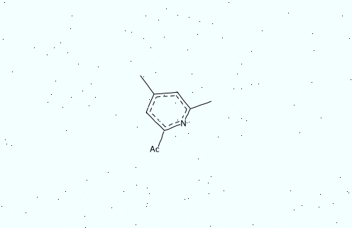 CC(=O)c1cc(C)cc(C)n1